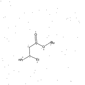 CCCC(CC)CC(=O)OC(C)CC